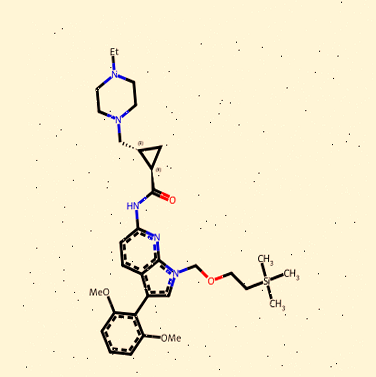 CCN1CCN(C[C@@H]2C[C@H]2C(=O)Nc2ccc3c(-c4c(OC)cccc4OC)cn(COCC[Si](C)(C)C)c3n2)CC1